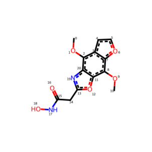 COc1c2ccoc2c(OC)c2oc(CC(=O)NO)nc12